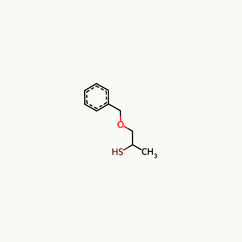 CC(S)COCc1ccccc1